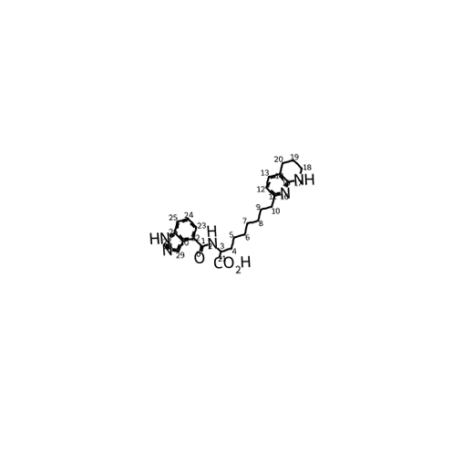 O=C(NC(CCCCCCCc1ccc2c(n1)NCCC2)C(=O)O)c1cccc2[nH]ncc12